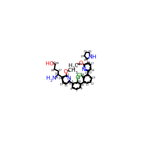 COc1nc(-c2cccc(-c3cccc(-c4ccc([C@@H]5CCCN5)c(OC)n4)c3Cl)c2Cl)ccc1C(N)CCCO